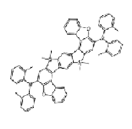 Cc1ccccc1N(c1ccccc1C)c1cc2c(c3c1oc1ccccc13)-c1cc3c(cc1[Si]2(C)C)-c1c(cc(N(c2ccccc2C)c2ccccc2C)c2oc4ccccc4c12)[Si]3(C)C